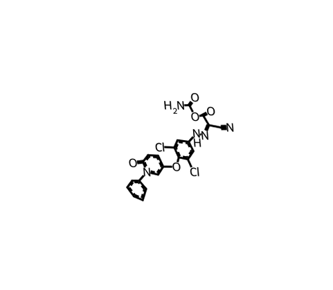 N#CC(=NNc1cc(Cl)c(Oc2ccc(=O)n(-c3ccccc3)c2)c(Cl)c1)C(=O)OC(N)=O